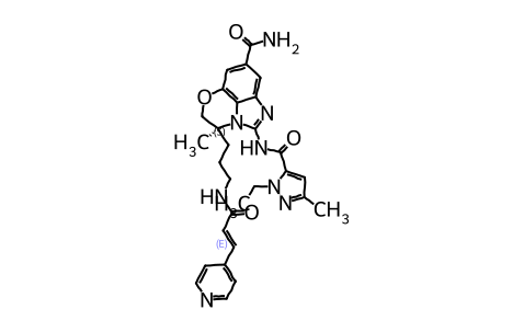 CCn1nc(C)cc1C(=O)Nc1nc2cc(C(N)=O)cc3c2n1[C@@](C)(CCCNC(=O)/C=C/c1ccncc1)CO3